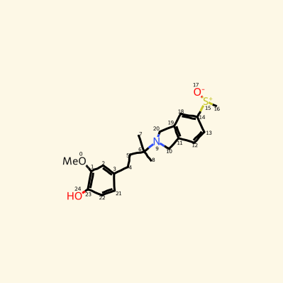 COc1cc(CCC(C)(C)N2Cc3ccc([S+](C)[O-])cc3C2)ccc1O